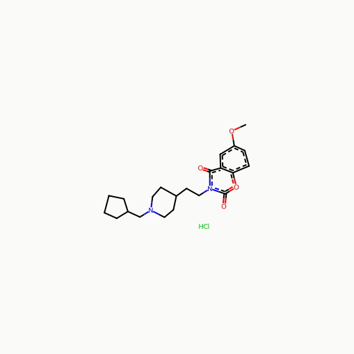 COc1ccc2oc(=O)n(CCC3CCN(CC4CCCC4)CC3)c(=O)c2c1.Cl